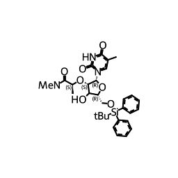 CNC(=O)[C@H](C)O[C@H]1C(O)[C@@H](CO[Si](c2ccccc2)(c2ccccc2)C(C)(C)C)O[C@H]1n1cc(C)c(=O)[nH]c1=O